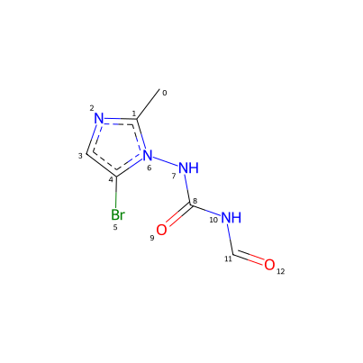 Cc1ncc(Br)n1NC(=O)NC=O